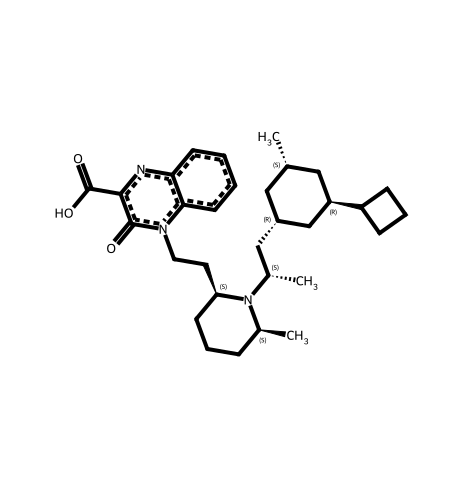 C[C@H]1C[C@@H](C[C@H](C)N2[C@H](CCn3c(=O)c(C(=O)O)nc4ccccc43)CCC[C@@H]2C)C[C@H](C2CCC2)C1